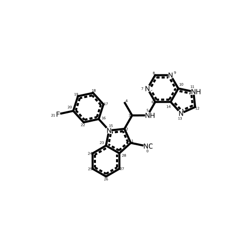 [C-]#[N+]c1c(C(C)Nc2ncnc3[nH]cnc23)n(-c2cccc(F)c2)c2ccccc12